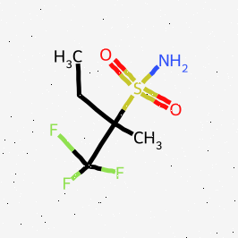 CCC(C)(C(F)(F)F)S(N)(=O)=O